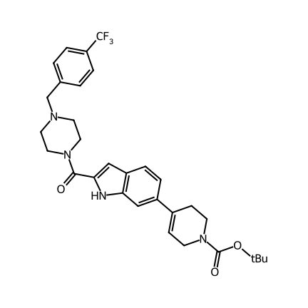 CC(C)(C)OC(=O)N1CC=C(c2ccc3cc(C(=O)N4CCN(Cc5ccc(C(F)(F)F)cc5)CC4)[nH]c3c2)CC1